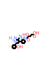 N#Cc1c(-c2cccc(NC(=O)C(O)CCC(=O)O)c2)cc(-c2cc(F)ccc2O)nc1N